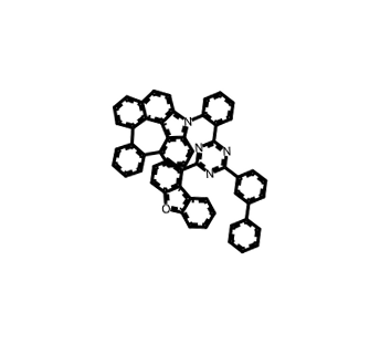 c1ccc(-c2cccc(-c3nc(-c4ccccc4-n4c5cccc6c5c5c7c(cccc7ccc54)-c4ccccc4-6)nc(-c4cccc5oc6ccccc6c45)n3)c2)cc1